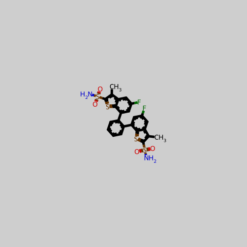 Cc1c(S(N)(=O)=O)sc2c(-c3ccccc3-c3cc(F)cc4c(C)c(S(N)(=O)=O)sc34)cc(F)cc12